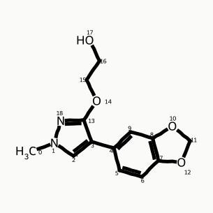 Cn1[c]c(-c2ccc3c(c2)OCO3)c(OCCO)n1